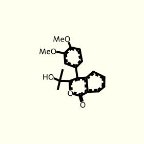 COc1ccc(-c2c(C(C)(C)O)oc(=O)c3ccccc23)cc1OC